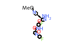 COCCN1CCC(C#Cc2c(Oc3ccc(NC(=O)c4cccn(-c5ccc(F)cc5)c4=O)cc3F)ccnc2N)CC1